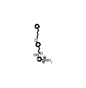 NS(=O)(=O)c1cccc(NC(=O)CCc2ccc(OCCCCCc3ccccc3)cc2)c1